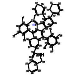 C/C=C1/C2=C(c3c(C)c(C)cc(C)c3C)C3C=CC(C4=CC5=C(C=CCC5)CN4)=CC3C(c3c(C)c(C)cc(C)c3C)=C2c2ccc(C3=CC=CCC3)c(C3=CCCC=C3)c21